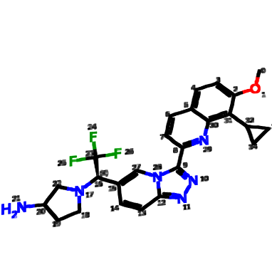 COc1ccc2ccc(-c3nnc4ccc([C@@H](N5CCC(N)C5)C(F)(F)F)cn34)nc2c1C1CC1